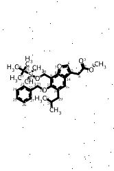 COC(=O)Cc1coc2c(CO[Si](C)(C)C(C)(C)C)c(OCc3ccccc3)c(CC(C)C)cc12